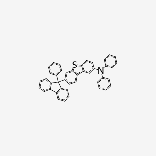 c1ccc(N(c2ccccc2)c2ccc3sc4cc(C5(c6ccccc6)c6ccccc6-c6ccccc65)ccc4c3c2)cc1